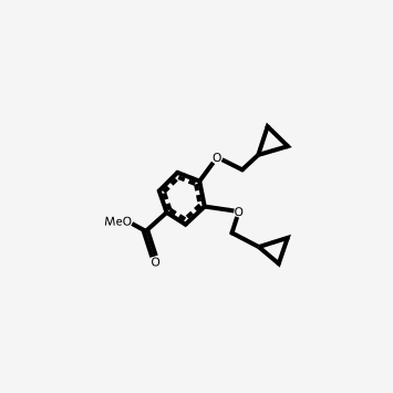 COC(=O)c1ccc(OCC2CC2)c(OCC2CC2)c1